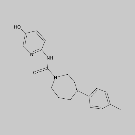 Cc1ccc(N2CCCN(C(=O)Nc3ccc(O)cn3)CC2)cc1